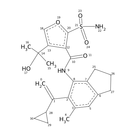 C=C(c1c(C)cc2c(c1NC(=O)c1c(C(C)(C)O)coc1S(N)(=O)=O)CCC2)C1CC1